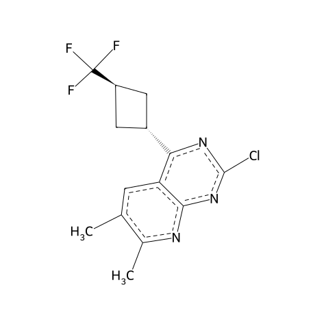 Cc1cc2c(nc(Cl)nc2[C@H]2C[C@H](C(F)(F)F)C2)nc1C